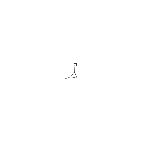 CC1C[C]1Cl